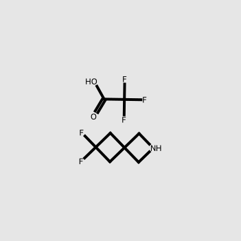 FC1(F)CC2(CNC2)C1.O=C(O)C(F)(F)F